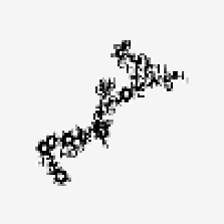 Cc1c(-c2ccc(N3CCc4cccc(CNc5nc6ccccc6s5)c4C3)nc2C(=O)O)cnn1CC12CC3(C)CC(C)(C1)CC(OCCN(CCS(=O)(=O)O)C(=O)OCc1ccc(NC(=O)[C@H](CCCNC(N)=O)NC(=O)[C@@H](NC(=O)CCN4C(=O)C=CC4=O)C(C)C)cc1)(C3)C2